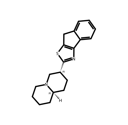 c1ccc2c(c1)Cc1sc([C@@H]3CC[C@H]4CCCCN4C3)nc1-2